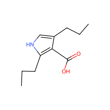 CCCc1c[nH]c(CCC)c1C(=O)O